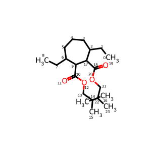 CCC1CCCC(CC)C(C(=O)OCC(C)C)C1C(=O)OCC(C)C